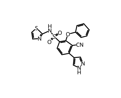 N#Cc1c(-c2cn[nH]c2)ccc(S(=O)(=O)Nc2nccs2)c1Oc1ccccc1